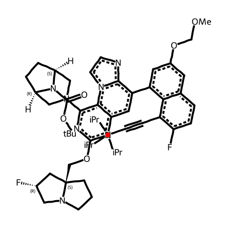 COCOc1cc(-c2cc3nc(OC[C@@]45CCCN4C[C@H](F)C5)nc(N4C[C@H]5CC[C@@H](C4)N5C(=O)OC(C)(C)C)c3n3ccnc23)c2c(C#C[Si](C(C)C)(C(C)C)C(C)C)c(F)ccc2c1